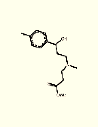 COC(=O)CCN(C)CCC(O)c1ccc(C)cc1